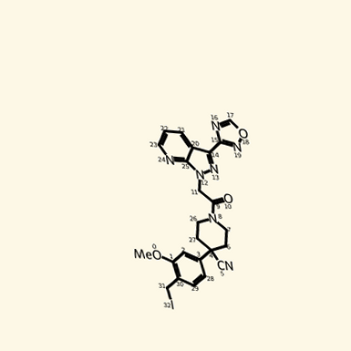 COc1cc(C2(C#N)CCN(C(=O)Cn3nc(-c4ncon4)c4cccnc43)CC2)ccc1CI